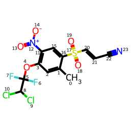 Cc1cc(OC(F)(F)C(Cl)Cl)c([N+](=O)[O-])cc1S(=O)(=O)/C=C/C#N